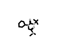 CN(C)C(=O)CN(C(=O)OC(C)(C)C)C1CCCCC1